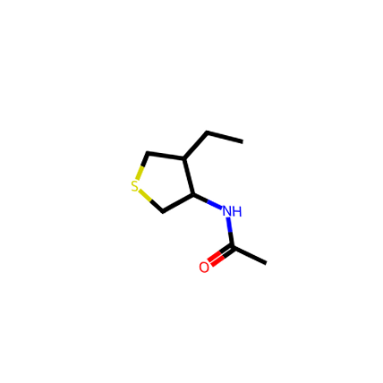 CCC1CSCC1NC(C)=O